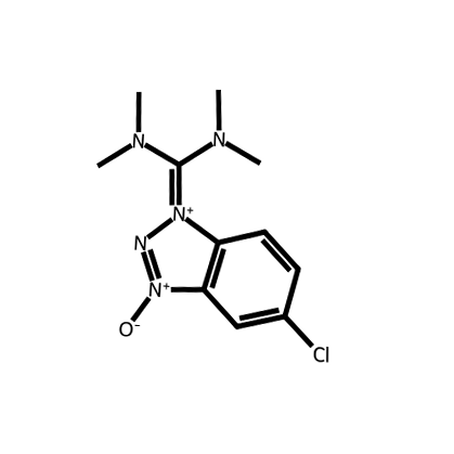 CN(C)C(N(C)C)=[N+]1N=[N+]([O-])c2cc(Cl)ccc21